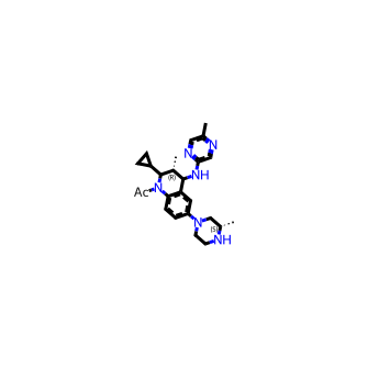 CC(=O)N1c2ccc(N3CCN[C@@H](C)C3)cc2C(Nc2cnc(C)cn2)[C@@H](C)C1C1CC1